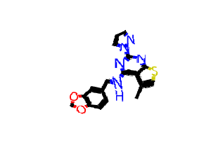 Cc1csc2nc(-n3cccn3)nc(NCc3ccc4c(c3)OCO4)c12